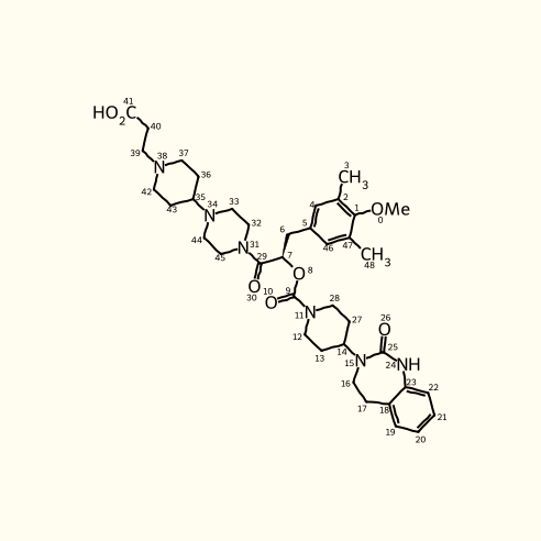 COc1c(C)cc(C[C@@H](OC(=O)N2CCC(N3CCc4ccccc4NC3=O)CC2)C(=O)N2CCN(C3CCN(CCC(=O)O)CC3)CC2)cc1C